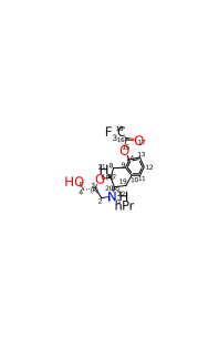 CCCN1C[C@H](CO)O[C@@H]2Cc3c(cccc3OC(=O)C(F)(F)F)C[C@H]21